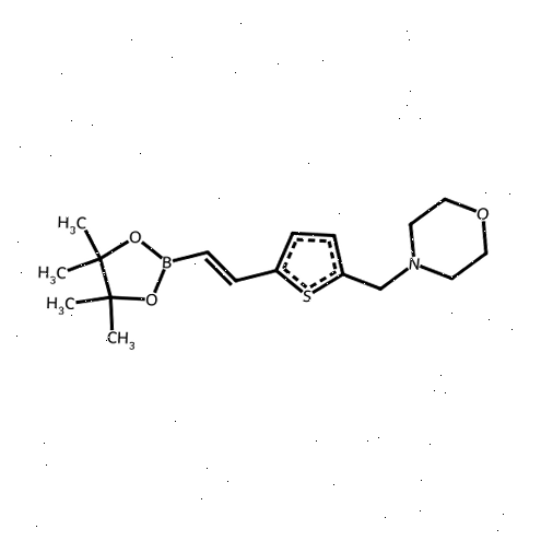 CC1(C)OB(C=Cc2ccc(CN3CCOCC3)s2)OC1(C)C